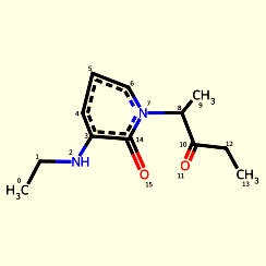 CCNc1cccn(C(C)C(=O)CC)c1=O